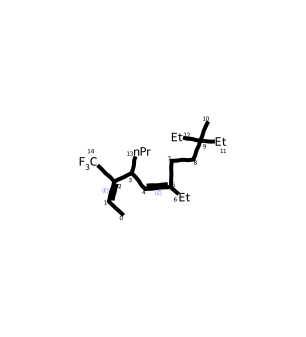 C/C=C(\C(/C=C(/CC)CCC(C)(CC)CC)CCC)C(F)(F)F